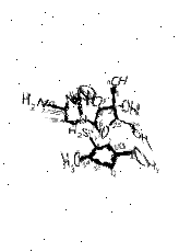 C#C[C@]1(O)[C@@H](O)[C@]([SiH2]c2cc(C)ccc2C)(n2ccc(N)nc2=O)O[C@@H]1CO